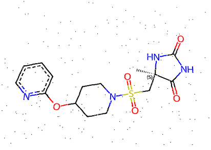 C[C@]1(CS(=O)(=O)N2CCC(Oc3ccccn3)CC2)NC(=O)NC1=O